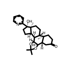 CC1(C)O[C@H]2[C@H](O1)[C@H]1CC(=O)CC[C@]1(C)[C@H]1CC[C@@]3(C)[C@@H](CC[C@@]3(O)c3ccccn3)[C@H]21